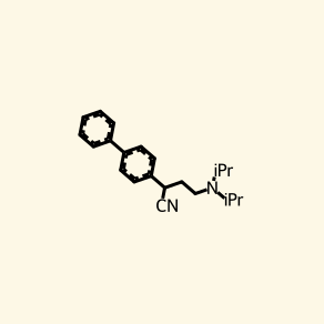 CC(C)N(CCC(C#N)c1ccc(-c2ccccc2)cc1)C(C)C